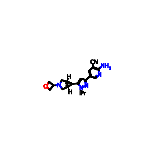 CC(C)n1nc(-c2cnc(N)c(C#N)c2)cc1C1[C@H]2CN(C3COC3)C[C@@H]12